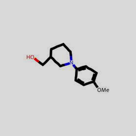 COc1ccc(N2CCCC(CO)C2)cc1